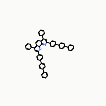 c1ccc(-c2ccc(-c3ccc(-c4cc(-c5ccccc5)c5ccc6c(-c7ccccc7)cc(-c7ccc(-c8ccc(-c9ccccc9)cc8)cc7)nc6c5n4)cc3)cc2)cc1